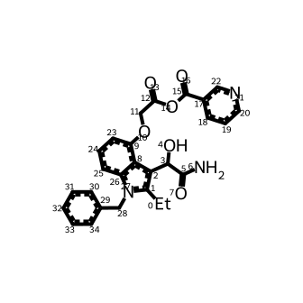 CCc1c(C(O)C(N)=O)c2c(OCC(=O)OC(=O)c3cccnc3)cccc2n1Cc1ccccc1